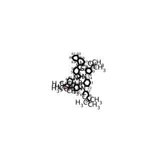 CC(C)(C)c1ccc(N2c3ccc(C(C)(C)C)cc3B3c4c2cccc4N(c2ccc(C(C)(C)C)cc2)c2c3n(C3CCC(C(C)(C)C)CC3)c3ccc4c(sc5ccc6ccccc6c54)c23)cc1